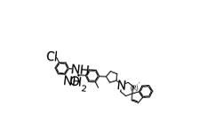 Cc1cc(C(=O)Nc2cc(Cl)ccc2N)ccc1C1CCC(N2CCC3(C=Cc4ccccc43)[C@@H](C)C2)C1